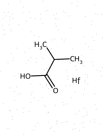 CC(C)C(=O)O.[Hf]